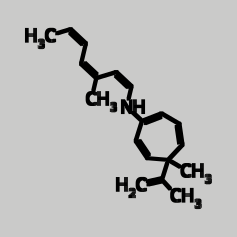 C=C(C)C1(C)C=CC=C(N\C=C/C(C)=C\C=C/C)C=C1